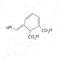 CCCC=C1C=CC=C(C(=O)O)C1C(=O)O